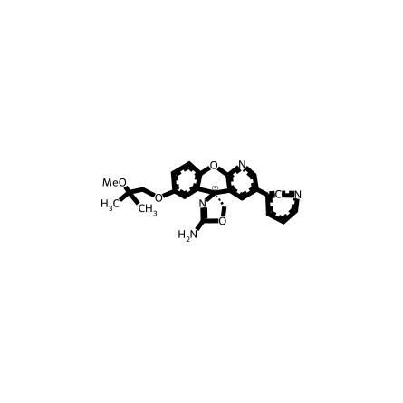 COC(C)(C)COc1ccc2c(c1)[C@@]1(COC(N)=N1)c1cc(-c3cccnc3)cnc1O2